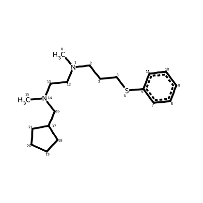 CN(CCCSc1ccccc1)CCN(C)CC1CCCC1